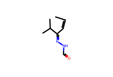 C/C=C\C(=N/NC=O)C(C)C